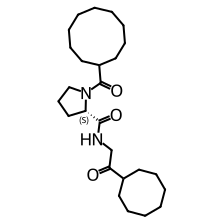 O=C(CNC(=O)[C@@H]1CCCN1C(=O)C1CCCCCCCCC1)C1CCCCCCC1